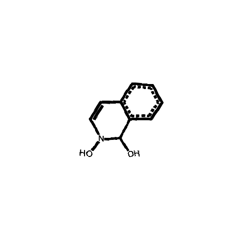 OC1c2ccccc2C=CN1O